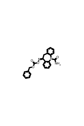 NC(=O)N1c2ccccc2C/C(=N/OC(=O)OCc2ccccc2)c2ccccc21